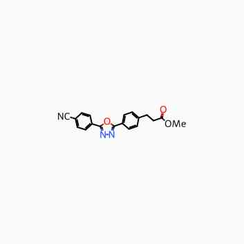 COC(=O)CCc1ccc(-c2nnc(-c3ccc(C#N)cc3)o2)cc1